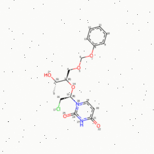 C[C@H](O)[C@@H](COCOc1ccccc1)O[C@H](CCl)n1ccc(=O)[nH]c1=O